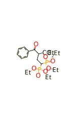 CCOC(=O)C(CC(P(=O)(OCC)OCC)P(=O)(OCC)OCC)C(=O)c1ccccc1